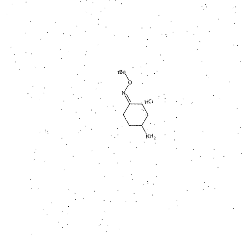 CC(C)(C)ON=C1CCC(N)CC1.Cl